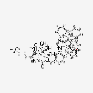 CCCCc1nc(C(=O)OCc2ccc(-c3ccccc3-c3nnnn3C(c3ccccc3)(c3ccccc3)c3ccccc3)cc2)c(C(O)(CC)CC)n1CC